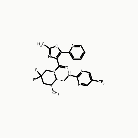 Cc1nc(C(=O)N2CC(F)(F)C[C@@H](C)[C@H]2CNc2ncc(C(F)(F)F)cn2)c(-c2ccccn2)o1